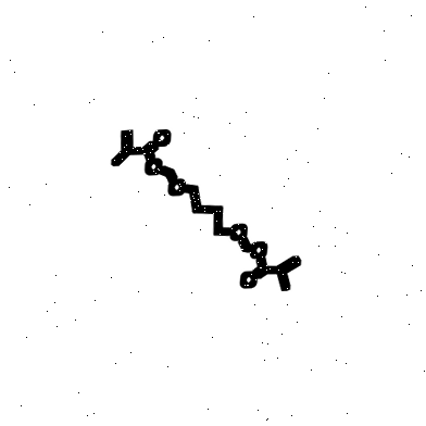 C=C(C)C(=O)OCOCCCCOCOC(=O)C(=C)C